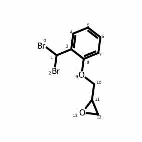 BrC(Br)c1ccccc1OCC1CO1